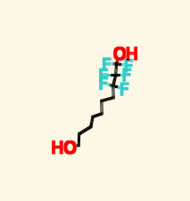 OCCCCCCCC(F)(F)C(F)(F)C(O)(F)F